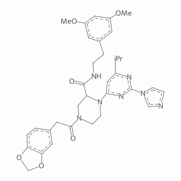 COc1cc(CCNC(=O)C2CN(C(=O)Cc3ccc4c(c3)OCO4)CCN2c2cc(C(C)C)nc(-n3ccnc3)n2)cc(OC)c1